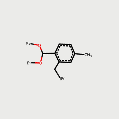 CCOC(OCC)c1ccc(C)cc1CC(C)C